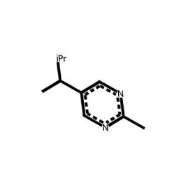 Cc1ncc(C(C)C(C)C)cn1